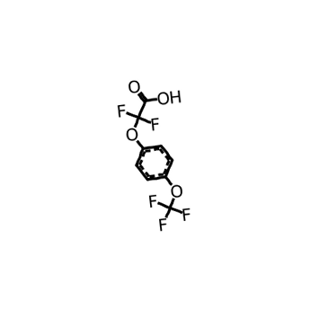 O=C(O)C(F)(F)Oc1ccc(OC(F)(F)F)cc1